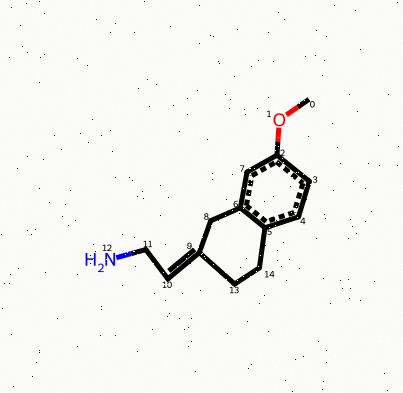 COc1ccc2c(c1)CC(=CCN)CC2